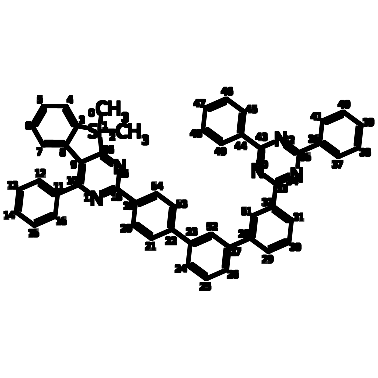 C[Si]1(C)c2ccccc2-c2c(-c3ccccc3)nc(-c3ccc(-c4cccc(-c5cccc(-c6nc(-c7ccccc7)nc(-c7ccccc7)n6)c5)c4)cc3)nc21